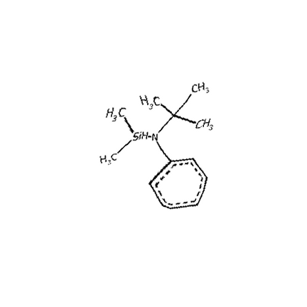 C[SiH](C)N(c1ccccc1)C(C)(C)C